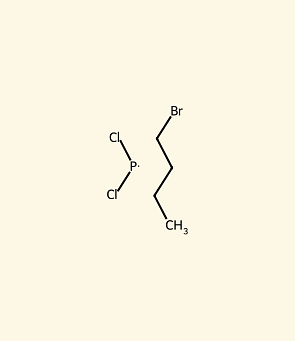 CCCCBr.Cl[P]Cl